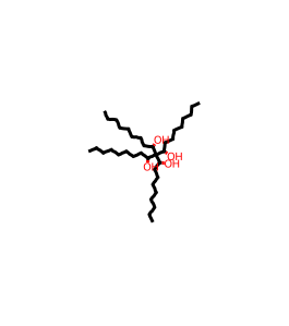 CCCCCCCCC(O)C(C(O)CCCCCCCC)(C(O)CCCCCCCC)C(O)CCCCCCCC